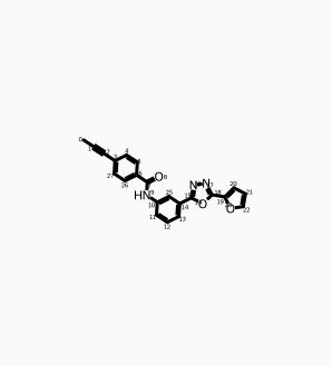 CC#Cc1ccc(C(=O)Nc2cccc(-c3nnc(-c4ccco4)o3)c2)cc1